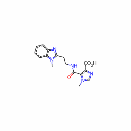 Cn1cnc(C(=O)O)c1C(=O)NCCc1nc2ccccc2n1C